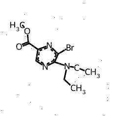 CCN(CC)c1ncc(C(=O)OC)nc1Br